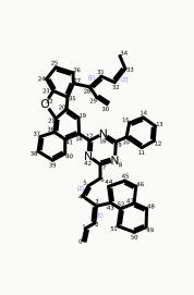 C=C/C=C(\C=C/Cc1nc(-c2ccccc2)nc(-c2cc3c(oc4cccc(/C(C=C)=C/C=C\C)c43)c3ccccc23)n1)c1cccc2ccccc12